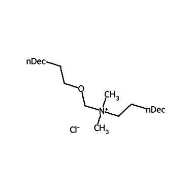 CCCCCCCCCCCCOC[N+](C)(C)CCCCCCCCCCCC.[Cl-]